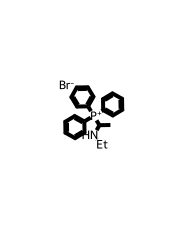 CCNC(C)[P+](c1ccccc1)(c1ccccc1)c1ccccc1.[Br-]